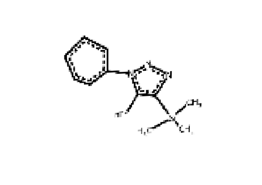 CCCc1c([Si](C)(C)C)nnn1-c1ccccc1